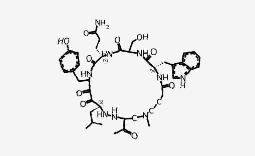 CC(=O)C1CN(C)CCCC(=O)N[C@@H](Cc2c[nH]c3ccccc23)C(=O)NC(CO)C(=O)N[C@@H](CCC(N)=O)C(=O)NC(Cc2ccc(O)cc2)C(=O)C(=O)[C@H](CC(C)C)NN1